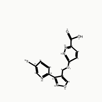 O=C(O)c1ccc(OCc2conc2-c2ccc(F)cn2)nn1